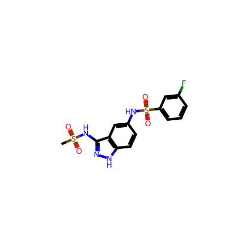 CS(=O)(=O)Nc1n[nH]c2ccc(NS(=O)(=O)c3cccc(F)c3)cc12